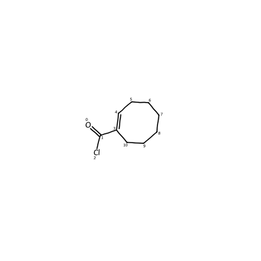 O=C(Cl)C1=CCCCCCC1